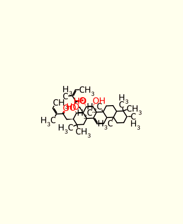 C/C=C(/C)C(=O)C[C@H]1[C@H](OC(=O)/C(C)=C\C)[C@@]2(CO)C(CC1(C)C)C1=CCC3[C@@]4(C)CC[C@H](C)C(C)(C)C4CC[C@@]3(C)[C@]1(C)[C@@H](O)[C@H]2O